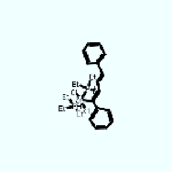 CC[PH](CC)(CC)[Zr]([Cl])([Cl])([C](=CC=Cc1ccccc1)c1ccccc1)[PH](CC)(CC)CC